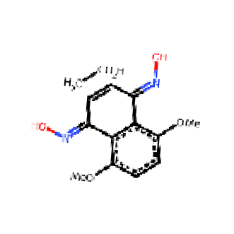 CC(=O)O.COc1ccc(OC)c2c1C(=NO)C=CC2=NO